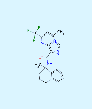 Cc1cc(C(F)(F)F)nc2c(C(=O)NC3(C)CCCc4ccccc43)ncn12